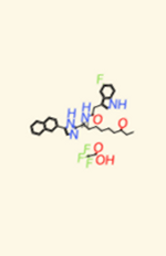 CCC(=O)CCCCC[C@H](NC(=O)Cc1c[nH]c2ccc(F)cc12)c1ncc(-c2ccc3ccccc3c2)[nH]1.O=C(O)C(F)(F)F